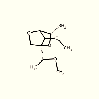 B[C@@H]1O[C@@]2(C(C)OC)COC1C2OC